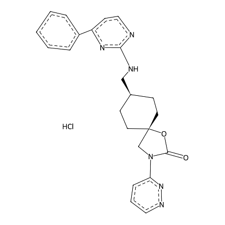 Cl.O=C1O[C@]2(CC[C@H](CNc3nccc(-c4ccccc4)n3)CC2)CN1c1cccnn1